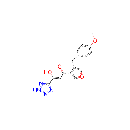 COc1ccc(Cc2cocc2C(=O)C=C(O)c2nn[nH]n2)cc1